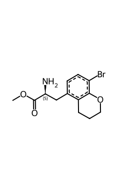 COC(=O)[C@@H](N)Cc1ccc(Br)c2c1CCCO2